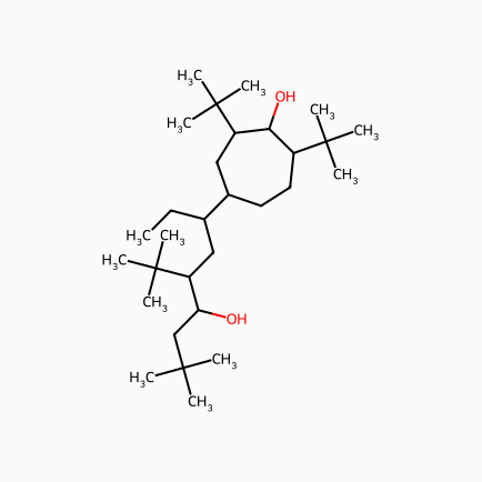 CCC(CC(C(O)CC(C)(C)C)C(C)(C)C)C1CCC(C(C)(C)C)C(O)C(C(C)(C)C)C1